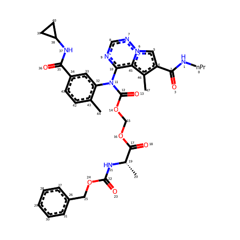 CCCNC(=O)c1cn2ncnc(N(C(=O)OCOC(=O)[C@H](C)NC(=O)OCc3ccccc3)c3cc(C(=O)NC4CC4)ccc3C)c2c1C